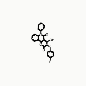 O=c1oc2c(c(O)c1Sc1ccc(F)cc1)c(=O)n(-c1ccccc1)c1ccccc21